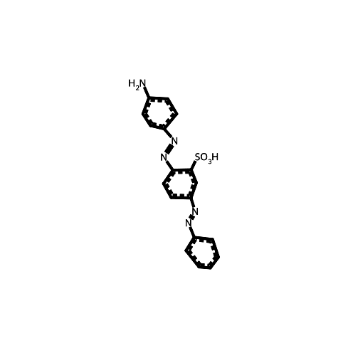 Nc1ccc(N=Nc2ccc(N=Nc3ccccc3)cc2S(=O)(=O)O)cc1